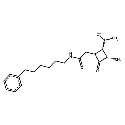 C[C@@H]1C(=O)N(CC(=O)NCCCCCCc2ccccc2)[C@H]1[S+](C)[O-]